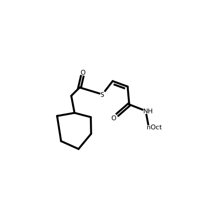 CCCCCCCCNC(=O)/C=C\SC(=O)CC1CCCCC1